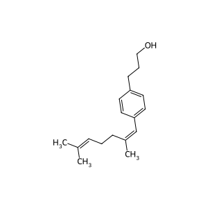 CC(C)=CCCC(C)=Cc1ccc(CCCO)cc1